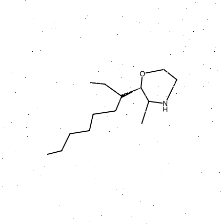 CCCCCCC(CC)[C@H]1OCCNC1C